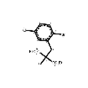 CCOC(=O)C(C)(Cc1cc(Cl)ccc1Br)C(=O)OCC